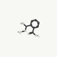 COC(O)c1ccccc1C(C)=O